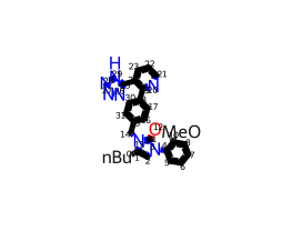 CCCCc1cn(-c2ccccc2OC)c(=O)n1Cc1ccc(-c2ncccc2-c2nnn[nH]2)cc1